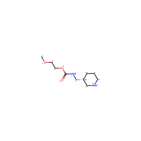 COCCOC(=O)NC[C@@H]1CCCNC1